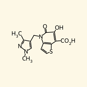 Cc1nn(C)cc1Cn1c(=O)c(O)c(C(=O)O)c2sccc21